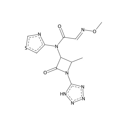 CON=CC(=O)N(c1cscn1)C1C(=O)N(c2nnn[nH]2)C1C